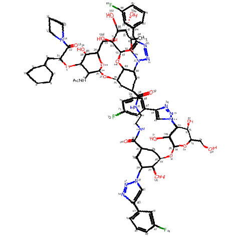 CC(=O)NC1C(O[C@@H](CC2CCCCC2)C(=O)N2CCC2)[C@@H](O)C(CO)O[C@H]1O[C@@H]1CC(C(=O)NCCNC(=O)C2CC(n3cc(-c4cccc(F)c4)nn3)C(O)[C@H](O[C@@H]3OC(CO)[C@H](O)C(n4cc(-c5cccc(F)c5)nn4)C3O)C2)CC(n2cc(-c3cccc(F)c3)nn2)C1O[C@@H]1OC(C)[C@@H](O)C(O)C1O